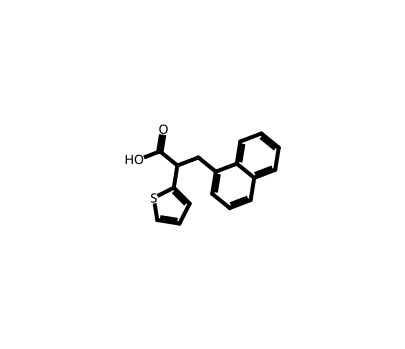 O=C(O)C(Cc1cccc2ccccc12)c1cccs1